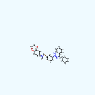 CN(Sc1cccc(NN=C(c2ccccc2)c2ccccc2)c1)c1ccc2c(c1)OCCO2